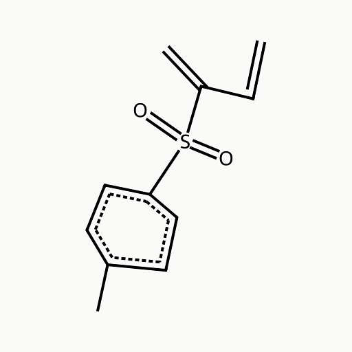 C=CC(=C)S(=O)(=O)c1ccc(C)cc1